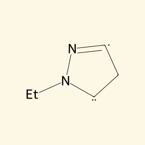 CCN1[C]C[C]=N1